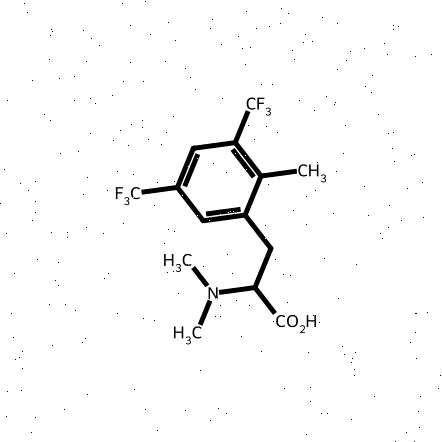 Cc1c(CC(C(=O)O)N(C)C)cc(C(F)(F)F)cc1C(F)(F)F